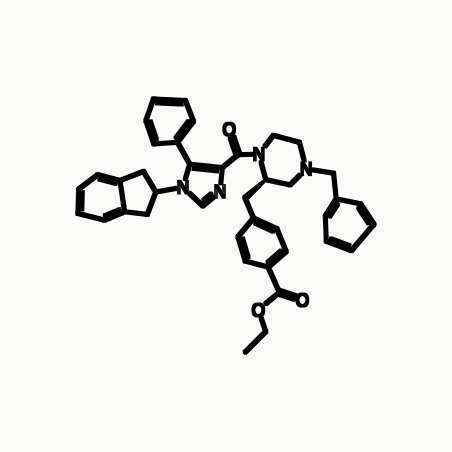 CCOC(=O)c1ccc(C[C@@H]2CN(Cc3ccccc3)CCN2C(=O)c2ncn(C3Cc4ccccc4C3)c2-c2ccccc2)cc1